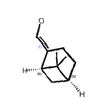 CC1(C)[C@H]2CC/C(=C\Cl)[C@@H]1C2